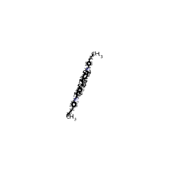 CCCCCc1ccc(/C=C/c2nc3cc4sc(-c5nc6cc7sc(/C=C/c8ccc(CCCCC)cc8)nc7cc6s5)nc4cc3s2)cc1